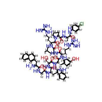 CC(C)C[C@H](NC(=O)[C@@H](CCCNC(=N)N)NC(=O)[C@H](Cc1ccc(O)cc1)NC(=O)[C@H](CO)NC(=O)[C@@H](Cc1c[nH]c2ccccc12)NC(=O)[C@H](C)NC(=O)[C@@H](N)Cc1ccc2ccccc2c1)C(=O)N[C@@H](CCCNC(=N)N)C(=O)N1CCC[C@H]1C(=O)N[C@H](C)C(=O)Nc1ccc(Cl)cc1